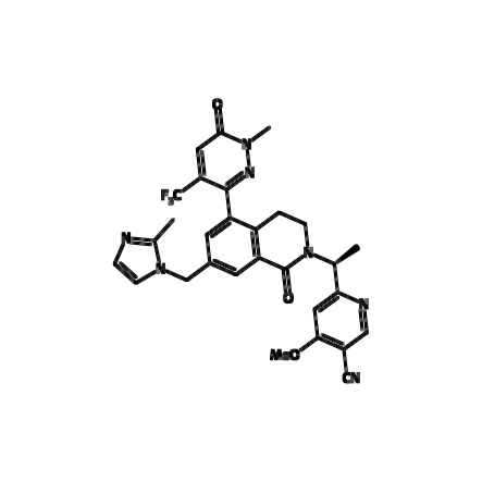 COc1cc([C@H](C)N2CCc3c(cc(Cn4ccnc4C)cc3-c3nn(C)c(=O)cc3C(F)(F)F)C2=O)ncc1C#N